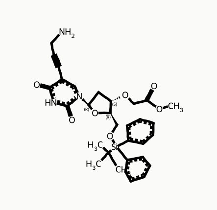 COC(=O)CO[C@H]1C[C@H](n2cc(C#CCN)c(=O)[nH]c2=O)O[C@@H]1CO[Si](c1ccccc1)(c1ccccc1)C(C)(C)C